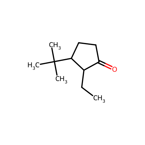 CCC1C(=O)CCC1C(C)(C)C